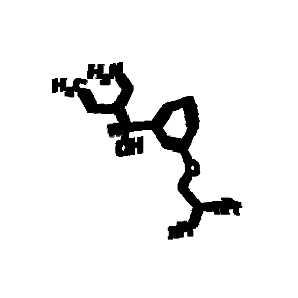 C=CC(CN)[C@@H](O)c1cccc(OCC(CCC)CCC)c1